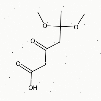 COC(C)(CC(=O)CC(=O)O)OC